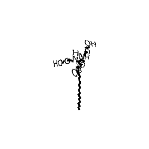 CCCCCCCCCCCCCCCC(=O)OC[C@H]1OC[C@H](NCCOCCO)[C@H]1NCCOCCO